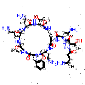 CC(C)C[C@@H]1NC(=O)[C@@H](Cc2ccccc2)NC(=O)[C@H](CCN)NC(=O)[C@@H](NC(=O)[C@H](CCN)NC(=O)[C@@H](NC(=O)CC[C@H](C)N)C(C)O)CCNC(=O)[C@H](C(C)O)NC(=O)[C@H](CCN)NC(=O)[C@H](CCCN)NC1=O